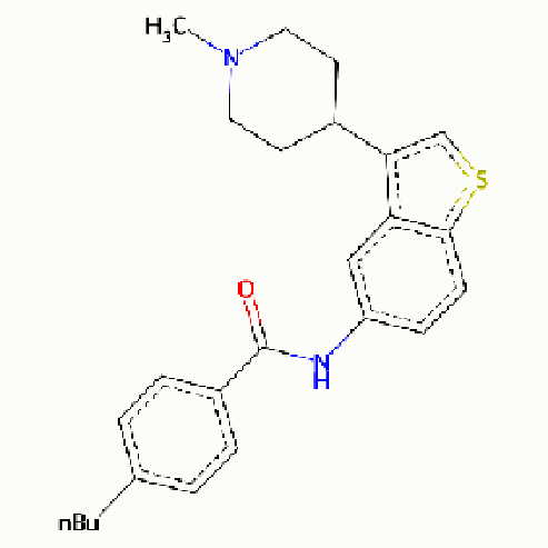 CCCCc1ccc(C(=O)Nc2ccc3scc(C4CCN(C)CC4)c3c2)cc1